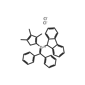 CC1=C(C)C(C)=[C]([Zr+2](=[C](c2ccccc2)c2ccccc2)[CH]2c3ccccc3-c3ccccc32)C1.[Cl-].[Cl-]